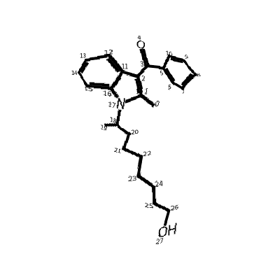 Cc1c(C(=O)c2ccccc2)c2ccccc2n1C(C)CCCCCCCO